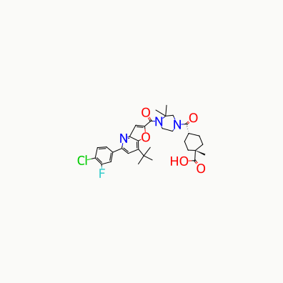 CC(C)(C)c1cc(-c2ccc(Cl)c(F)c2)nc2cc(C(=O)N3CCN(C(=O)[C@H]4CC[C@@](C)(C(=O)O)CC4)CC3(C)C)oc12